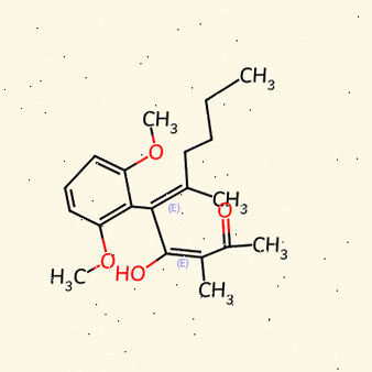 CCCC/C(C)=C(/C(O)=C(/C)C(C)=O)c1c(OC)cccc1OC